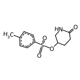 Cc1ccc(S(=O)(=O)OC2CCC(=O)NC2)cc1